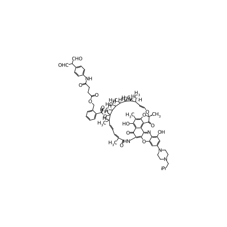 CC(=O)O[C@H]1[C@H](C)[C@H](O)[C@H](C)[C@@H](OC(=O)c2ccccc2COC(=O)CCC(=O)Nc2ccc(C(C=O)C=O)cc2)[C@@H](C)/C=C/C=C(/C)C(=O)Nc2c3oc4cc(N5CCN(CC(C)C)CC5)cc(O)c4nc-3c3c4c(c(C)c(O)c3c2=O)O[C@](C)(O/C=C/[C@H](C)[C@H]1C)C4=O